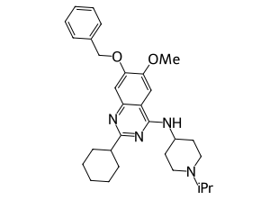 COc1cc2c(NC3CCN(C(C)C)CC3)nc(C3CCCCC3)nc2cc1OCc1ccccc1